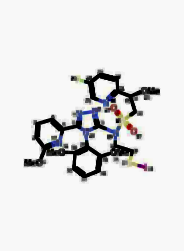 COc1cccc(-c2nnc(N(CCSI)S(=O)(=O)C[C@H](OC)c3ccc(F)cn3)n2-c2c(OC)cccc2OC)n1